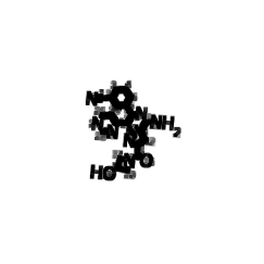 N#Cc1cccc(-c2nc(N)c3cc(C(=O)N4CC(O)C4)nn3c2-c2ccncn2)c1